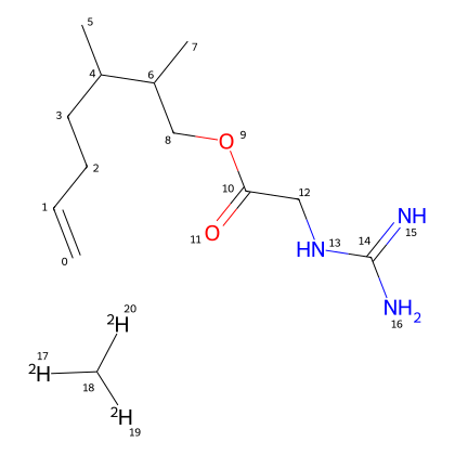 C=CCCC(C)C(C)COC(=O)CNC(=N)N.[2H]C([2H])[2H]